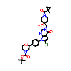 CC(C)(C)OC(=O)N1CCOC(c2ccc(-n3c(Cl)cc4c(=O)n(CC5(O)CCN(C(=O)C6(C)CC6)CC5)cnc43)cc2)C1